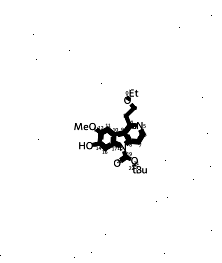 CCOCCc1nccc2c1c1cc(OC)c(O)cc1n2C(=O)OC(C)(C)C